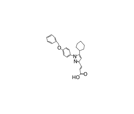 O=C(O)C=Cc1cc(C2CCCCC2)n(-c2ccc(OCc3ccccc3)cc2)n1